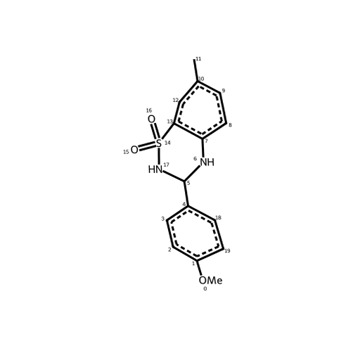 COc1ccc(C2Nc3ccc(C)cc3S(=O)(=O)N2)cc1